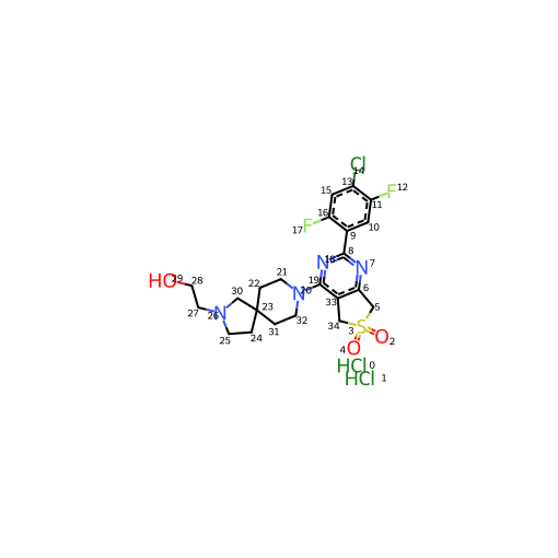 Cl.Cl.O=S1(=O)Cc2nc(-c3cc(F)c(Cl)cc3F)nc(N3CCC4(CCN(CCO)C4)CC3)c2C1